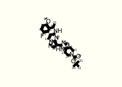 COc1ccc(F)cc1C(C)Nc1ccn2ncc(C3=NOC4(CCN(C(=O)OC(C)(C)C)CC4)N3)c2n1